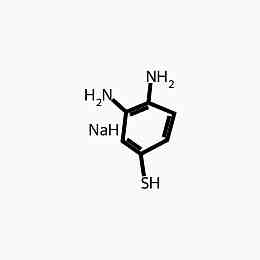 Nc1ccc(S)cc1N.[NaH]